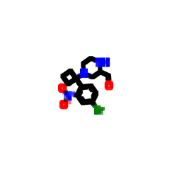 O=CC1CN(C2(c3ccc(Br)cc3[N+](=O)[O-])CCC2)CCN1